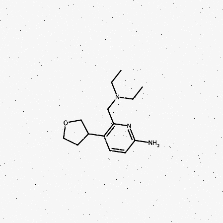 CCN(CC)Cc1nc(N)ccc1C1CCOC1